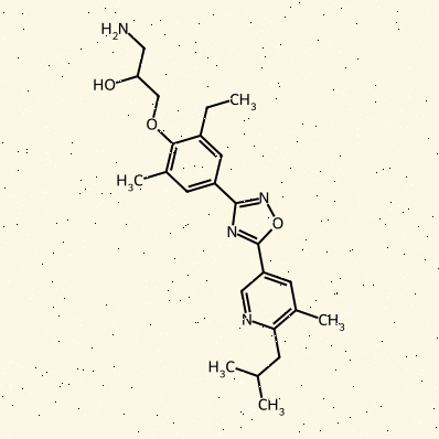 CCc1cc(-c2noc(-c3cnc(CC(C)C)c(C)c3)n2)cc(C)c1OCC(O)CN